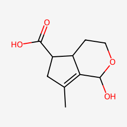 CC1=C2C(O)OCCC2C(C(=O)O)C1